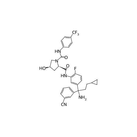 N#Cc1cccc(C(N)(CCC2CC2)c2ccc(F)c(NC(=O)[C@H]3C[C@@H](O)CN3C(=O)Nc3ccc(C(F)(F)F)cc3)c2)c1